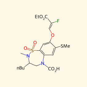 CCCCC1CN(C(=O)O)c2cc(SC)c(OC=C(F)C(=O)OCC)cc2S(=O)(=O)N1C